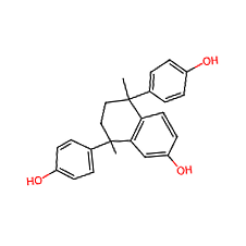 CC1(c2ccc(O)cc2)CCC(C)(c2ccc(O)cc2)c2cc(O)ccc21